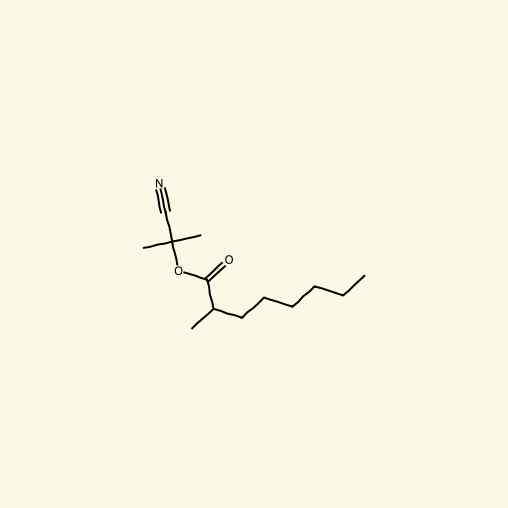 CCCCCCC(C)C(=O)OC(C)(C)C#N